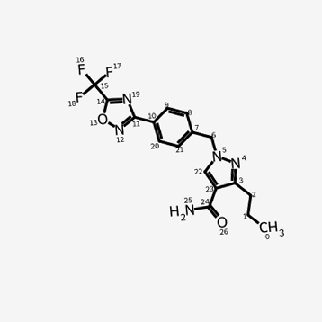 CCCc1nn(Cc2ccc(-c3noc(C(F)(F)F)n3)cc2)cc1C(N)=O